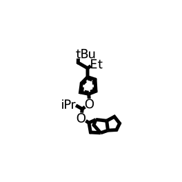 CCC(CC(C)(C)C)c1ccc(OC(OC2CC3CC2C2CCCC32)C(C)C)cc1